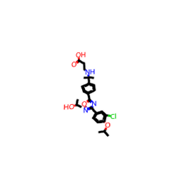 CC(C)O.CC(C)Oc1ccc(-c2noc(-c3ccc(C(C)(C)NCCC(=O)O)cc3)n2)cc1Cl